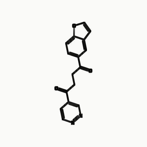 O=C(CCC(=O)c1ccc2occc2c1)c1ccnnc1